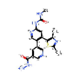 CCNC(=O)Nc1cc(-c2sc(C)nc2C)c(-c2cncc(C(=O)NN)c2)cn1